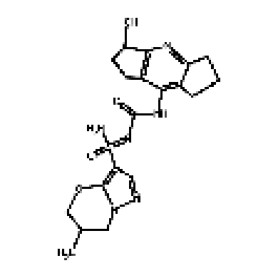 CC1COc2c(S(N)(=O)=NC(=O)Nc3c4c(nc5c3CCC5C)CCC4)cnn2C1